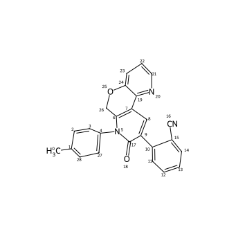 Cc1ccc(-n2c3c(cc(-c4ccccc4C#N)c2=O)-c2ncccc2OC3)cc1